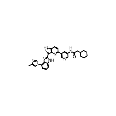 Cc1cn(-c2cccc3[nH]c(-c4n[nH]c5ccc(-c6cncc(NC(=O)CC7CCCCC7)c6)nc45)nc23)cn1